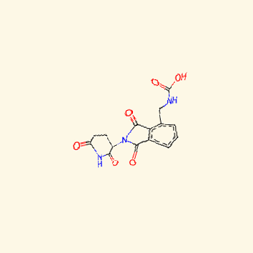 O=C(O)NCc1cccc2c1C(=O)N(C1CCC(=O)NC1=O)C2=O